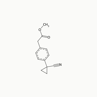 COC(=O)Cc1ccc(C2(C#N)CC2)cc1